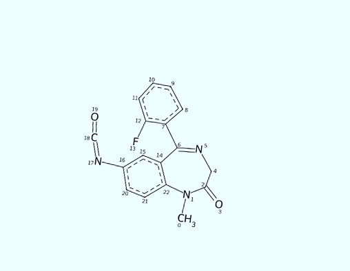 CN1C(=O)CN=C(c2ccccc2F)c2cc(N=C=O)ccc21